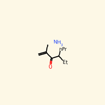 C=C(C)C(=O)C(CC)CCC.N